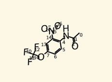 CC(=O)Nc1ccc(OC(F)(F)F)cc1[N+](=O)[O-]